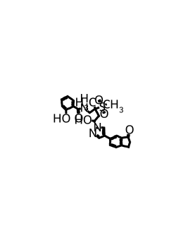 CC(CNC(=O)c1ccccc1O)(CC(O)n1cc(-c2ccc3c(c2)C(=O)CC3)cn1)S(C)(=O)=O